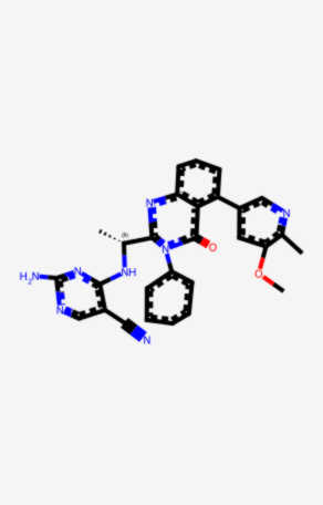 COc1cc(-c2cccc3nc([C@@H](C)Nc4nc(N)ncc4C#N)n(-c4ccccc4)c(=O)c23)cnc1C